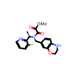 COC(=O)C(=O)N(Cc1ccc2c(c1)OCCN2)[C@H](C)c1ncccc1F